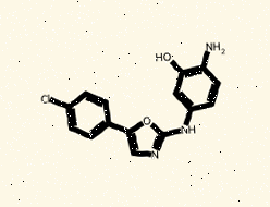 Nc1ccc(Nc2ncc(-c3ccc(Cl)cc3)o2)cc1O